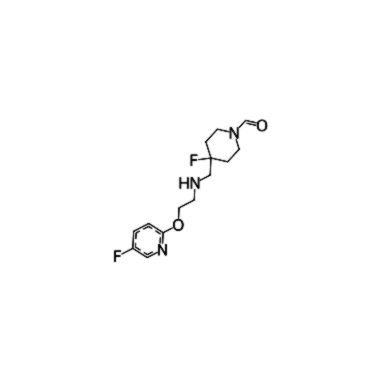 O=CN1CCC(F)(CNCCOc2ccc(F)cn2)CC1